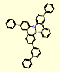 c1ccc(-c2cccc(-c3ccc4c(c3)B3c5ccccc5-c5cc(-c6ccccc6)ccc5N3c3ccc(-c5ccccc5)cc3-4)c2)cc1